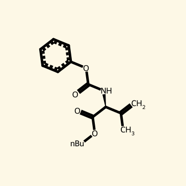 C=C(C)[C@H](NC(=O)Oc1ccccc1)C(=O)OCCCC